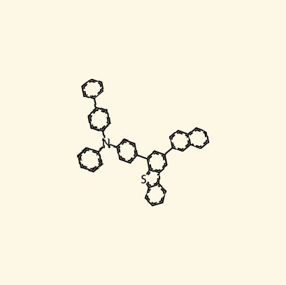 c1ccc(-c2ccc(N(c3ccccc3)c3ccc(-c4cc(-c5ccc6ccccc6c5)cc5c4sc4ccccc45)cc3)cc2)cc1